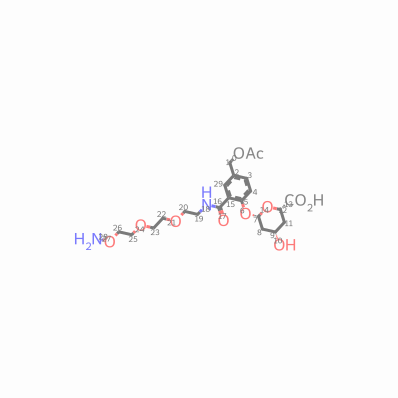 CC(=O)OCc1ccc(O[C@H]2C[C@@H](O)C[C@@H](C(=O)O)O2)c(C(=O)NCCOCCOCCON)c1